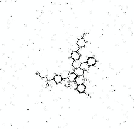 CC(=O)N1CCN(c2ccc(CN(C(=O)C=Cc3ccc(C(F)(F)F)cc3)C(Cc3ccccc3)C(=O)N(C)CCN(C)Cc3ccc(N(C)CCO)cc3)cc2)CC1